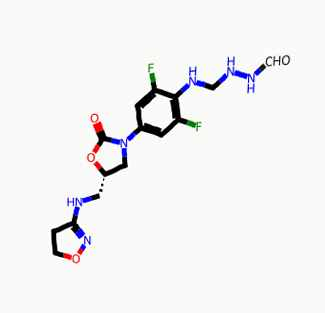 O=CNNCNc1c(F)cc(N2C[C@H](CNC3=NOCC3)OC2=O)cc1F